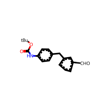 CC(C)(C)OC(=O)Nc1ccc(Cc2cccc(C=O)c2)cc1